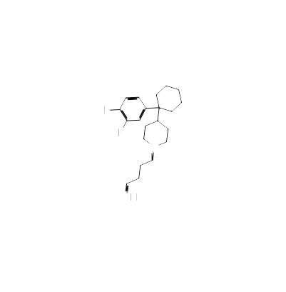 C=CCCC[SiH]1CCC(C2(c3ccc(F)c(F)c3)CCCCC2)CC1